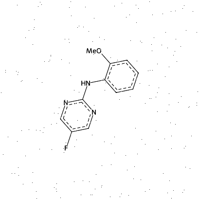 COc1ccccc1Nc1ncc(F)cn1